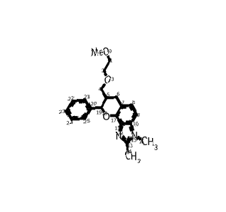 COCCOCC1Cc2ccc3c(nc(C)n3C)c2OC1c1ccccc1